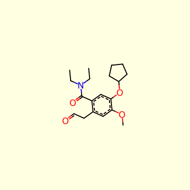 CCN(CC)C(=O)c1cc(OC2CCCC2)c(OC)cc1CC=O